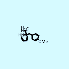 COc1ccc(CC2(C(N)=O)C=CC=CN2)cc1